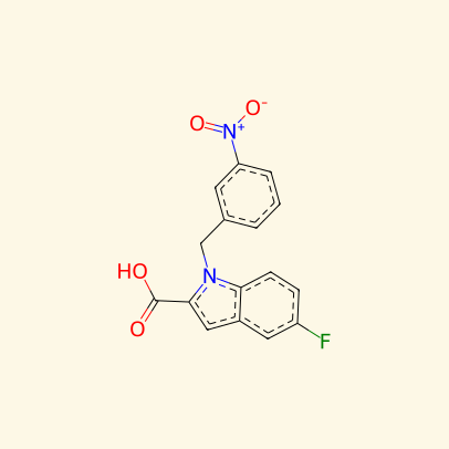 O=C(O)c1cc2cc(F)ccc2n1Cc1cccc([N+](=O)[O-])c1